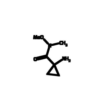 CON(C)C(=O)C1(N)CC1